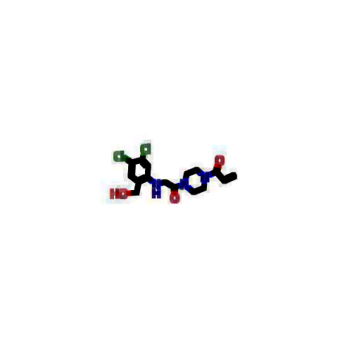 C=CC(=O)N1CCN(C(=O)CNc2cc(Cl)c(Cl)cc2CO)CC1